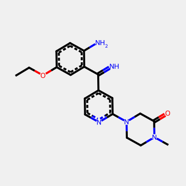 CCOc1ccc(N)c(C(=N)c2ccnc(N3CCN(C)C(=O)C3)c2)c1